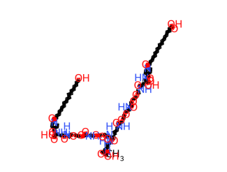 CN[C@@](C=O)(CO)CCCCNC(=O)[C@H](CCCCNC(=O)COCCOCCNC(=O)COCCOCCNC(=O)CC[C@H](NC(=O)C1CCN(C(=O)CCCCCCCCCCCCCCCCCCC(=O)O)CC1)C(=O)O)NC(=O)COCCOCCNC(=O)COCCOCCNC(=O)CC[C@H](NC(=O)C1CCN(C(=O)CCCCCCCCCCCCCCCCCCCO)CC1)C(=O)O